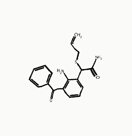 C=CCSC(C(N)=O)c1cccc(C(=O)c2ccccc2)c1N